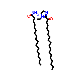 CCCCCCCCCCCCCCCCCC(=O)C1=NCCN1CC.CCCCCCCCCCCCCCCCCC(N)=O